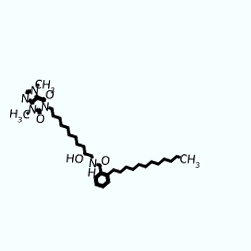 CCCCCCCCCCCCc1ccccc1C(=O)NCC(O)CCCCCCCCCn1c(=O)c2c(ncn2C)n(C)c1=O